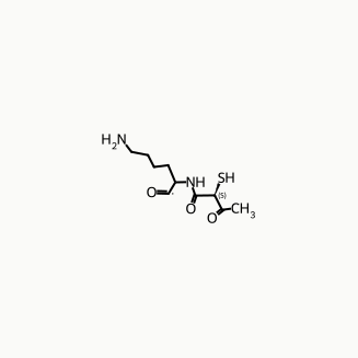 CC(=O)[C@H](S)C(=O)NC([C]=O)CCCCN